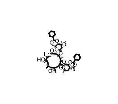 CC[C@H]1OC(=O)[C@H](C)[C@@H](O[C@H]2C[C@@](C)(OC)[C@@H](OC(=O)c3ccccc3)[C@H](C)O2)[C@H](C)[C@@H](O[C@@H]2O[C@H](C)C[C@H](N(C)C)[C@H]2OC(=O)c2ccccc2)[C@](C)(OC)C[C@@H](C)[C@H](O)/C(C)=C/[C@]1(C)O